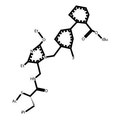 CCOc1nc(CC)c(CNC(=O)[C@H](CC(C)C)SC(C)=O)n1Cc1ccc(-c2ccccc2C(=O)OC(C)(C)C)cc1F